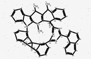 CC1C2=C3N(C)c4c(c5ccccc5n4-c4cccc5c4C(C)(C)c4c(cccc4-5)-c4nc(-c5cccc6ccccc56)nc(n4)C3(C)c3ccccc31)C2C